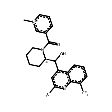 C[n+]1cccc(C(=O)N2CCCC[C@@H]2C(O)c2cc(C(F)(F)F)nc3c(C(F)(F)F)cccc23)c1